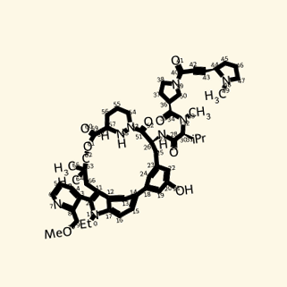 CCn1c(-c2cccnc2COC)c2c3cc(ccc31)-c1cc(O)cc(c1)C[C@H](NC(=O)[C@H](C(C)C)N(C)C(=O)[C@H]1CCN(C(=O)C#C[C@H]3CCCN3C)C1)C(=O)N1CCC[C@H](N1)C(=O)OCC(C)(C)C2